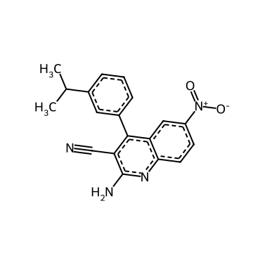 CC(C)c1cccc(-c2c(C#N)c(N)nc3ccc([N+](=O)[O-])cc23)c1